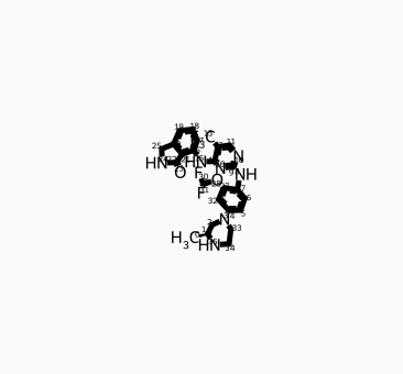 C[C@H]1CN(c2ccc(Nc3ncc(C(F)(F)F)c(Nc4cccc5c4C(=O)NC5)n3)c(OC(F)F)c2)CCN1